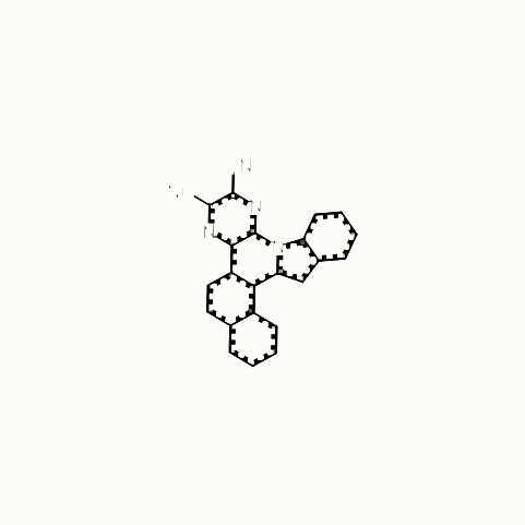 N#Cc1nc2c3ccc4ccccc4c3c3cc4ccccc4n3c2nc1C#N